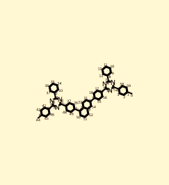 Cc1ccc(-c2nc(-c3ccccc3)nc(-c3ccc(-c4ccc5c(-c6ccc(-c7nc(-c8ccccc8)nc(-c8ccc(C)cc8)n7)cc6)cccc5c4)cc3)n2)cc1